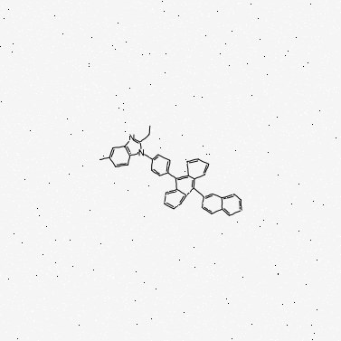 CCc1nc2cc(C)ccc2n1-c1ccc(-c2c3ccccc3c(-c3ccc4ccccc4c3)c3ccccc23)cc1